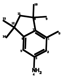 Cc1cc(N)cc2c1C(C)(C)CC2(C)C